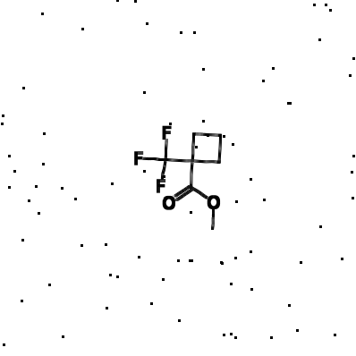 COC(=O)C1(C(F)(F)F)CCC1